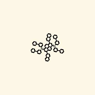 c1ccc(-c2cccc(N(c3cccc(-c4ccccc4)c3)c3cc(-c4ccc5ccccc5c4)c4ccc5c(N(c6cccc(-c7ccccc7)c6)c6cccc(-c7ccccc7)c6)cc(-c6ccc7ccccc7c6)c6ccc3c4c65)c2)cc1